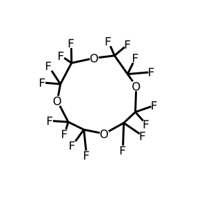 FC1(F)OC(F)(F)C(F)(F)OC(F)(F)C(F)(F)OC(F)(F)C(F)(F)OC1(F)F